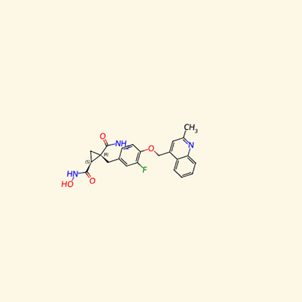 Cc1cc(COc2ccc(C[C@]3(C(N)=O)C[C@@H]3C(=O)NO)cc2F)c2ccccc2n1